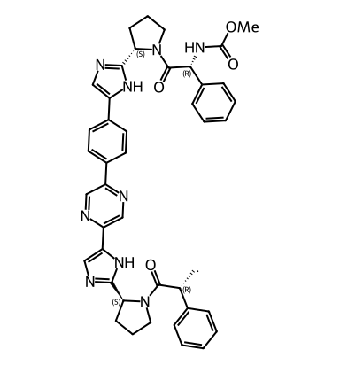 [CH2][C@@H](C(=O)N1CCC[C@H]1c1ncc(-c2cnc(-c3ccc(-c4cnc([C@@H]5CCCN5C(=O)[C@H](NC(=O)OC)c5ccccc5)[nH]4)cc3)cn2)[nH]1)c1ccccc1